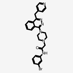 O=C(CN1CCN(c2nnc(Cc3ccncc3)c3ccccc23)CC1)Nc1cccc(Br)c1